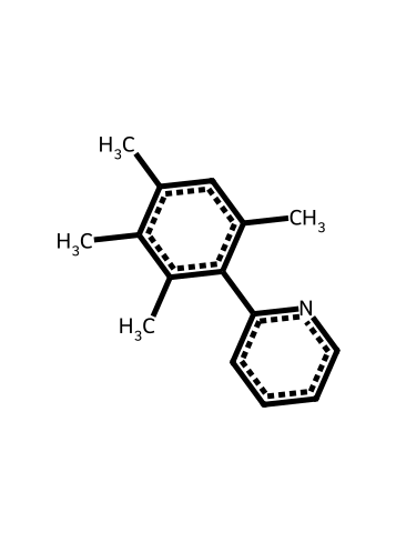 Cc1cc(C)c(-c2ccccn2)c(C)c1C